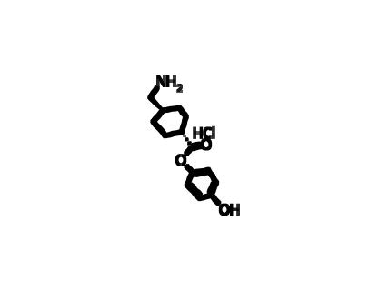 Cl.NC[C@H]1CC[C@H](C(=O)Oc2ccc(O)cc2)CC1